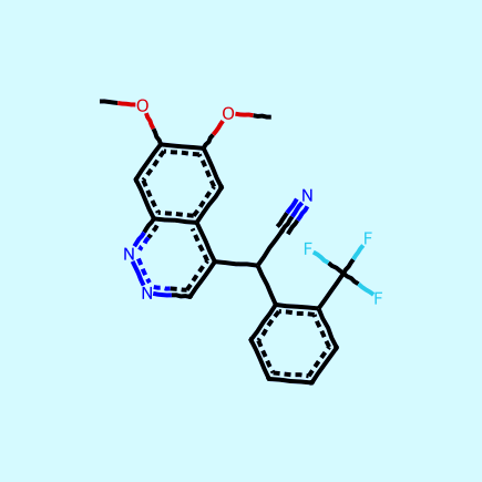 COc1cc2nncc(C(C#N)c3ccccc3C(F)(F)F)c2cc1OC